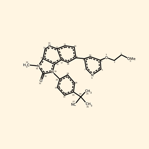 COCCOc1cncc(-c2ccc3ncc4c(c3c2)n(-c2ccc(C(C)(C)C#N)cc2)c(=O)n4C)c1